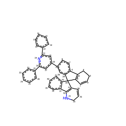 C1=CC2=C(CC1)c1ccc(-c3cc(-c4ccccc4)nc(-c4ccccc4)c3)cc1C21C2=C(NCC=C2)c2ccccc21